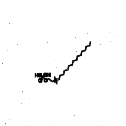 CCCCCCCCCCCCCCCC[N+](C)(C)CCOP(=O)(O)O